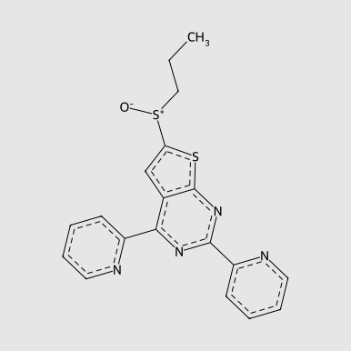 CCC[S+]([O-])c1cc2c(-c3ccccn3)nc(-c3ccccn3)nc2s1